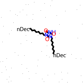 CCCCCCCCCCCCCCCCCCn1c(=O)[nH]c(=O)n(CCCCCCCCCCCCCCCCCC)c1=O